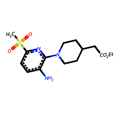 CCOC(=O)CC1CCN(c2nc(S(C)(=O)=O)ccc2N)CC1